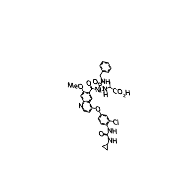 COc1cc2nccc(Oc3ccc(NC(=O)NC4CC4)c(Cl)c3)c2cc1C(=O)NP(=O)(NCc1ccccc1)NC(C)C(=O)O